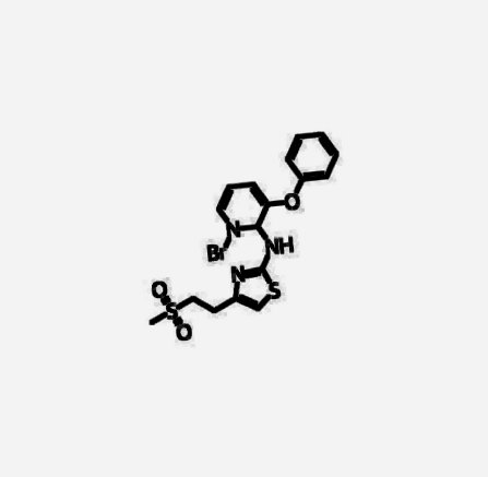 CS(=O)(=O)CCc1csc(NC2C(Oc3ccccc3)=CC=CN2Br)n1